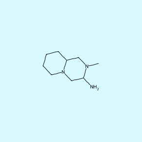 CN1CC2CCCCN2CC1N